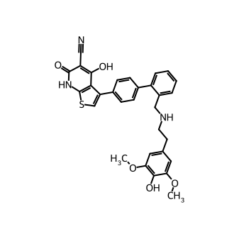 COc1cc(CCNCc2ccccc2-c2ccc(-c3csc4[nH]c(=O)c(C#N)c(O)c34)cc2)cc(OC)c1O